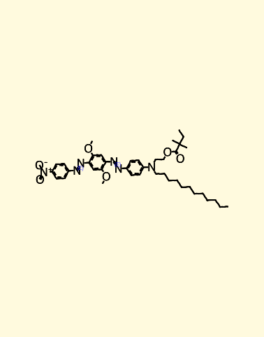 CCCCCCCCCCCCN(CCOC(=O)C(C)(C)CC)c1ccc(/N=N/c2cc(OC)c(/N=N/c3ccc([N+](=O)[O-])cc3)cc2OC)cc1